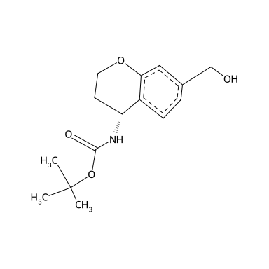 CC(C)(C)OC(=O)N[C@@H]1CCOc2cc(CO)ccc21